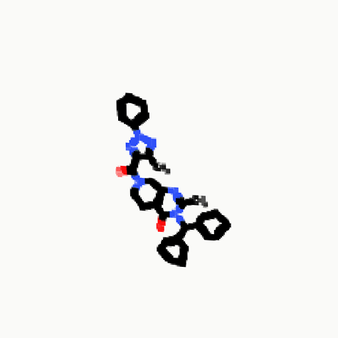 Cc1nn(-c2ccccc2)nc1C(=O)N1CCc2c(nc(C)n(C(c3ccccc3)c3ccccc3)c2=O)C1